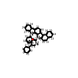 c1ccc(-c2cnc(-n3c4ccc5ccccc5c4c4ccc5c6ccccc6n(-c6ccccc6)c5c43)cn2)cc1